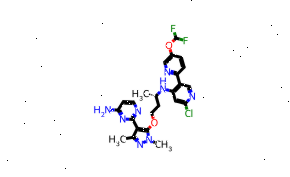 Cc1nn(C)c(OCC[C@H](C)Nc2cc(Cl)ncc2-c2ccc(OC(F)F)cn2)c1-c1nccc(N)n1